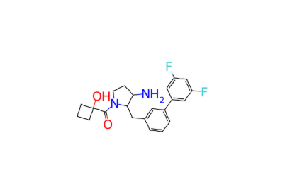 NC1CCN(C(=O)C2(O)CCC2)C1Cc1cccc(-c2cc(F)cc(F)c2)c1